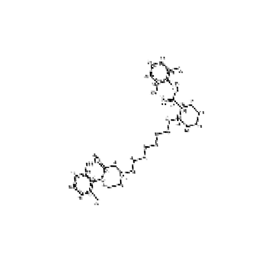 CCN(CCCCCCCCN1CCCC[C@@H]1C(=O)Oc1c(C)cccc1C)CC(=O)Sc1c(C)cccc1C